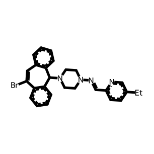 CCc1ccc(C=NN2CCN(C3c4ccccc4C=C(Br)c4ccccc43)CC2)nc1